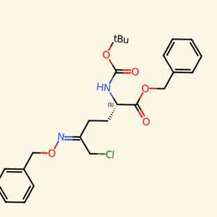 CC(C)(C)OC(=O)N[C@@H](CCC(CCl)=NOCc1ccccc1)C(=O)OCc1ccccc1